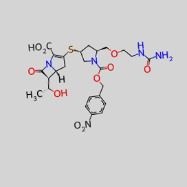 C[C@@H](O)[C@H]1C(=O)N2C(C(=O)O)=C(S[C@H]3C[C@@H](COCCNC(N)=O)N(C(=O)OCc4ccc([N+](=O)[O-])cc4)C3)C[C@H]12